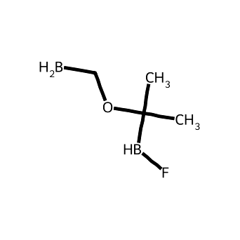 BCOC(C)(C)BF